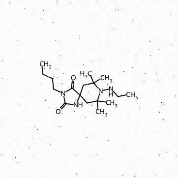 CCCCN1C(=O)NC2(CC(C)(C)N(NCC)C(C)(C)C2)C1=O